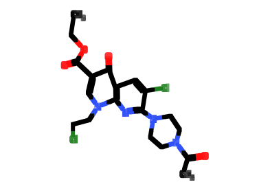 CCOC(=O)c1cn(CCCl)c2nc(N3CCN(C(C)=O)CC3)c(Cl)cc2c1=O